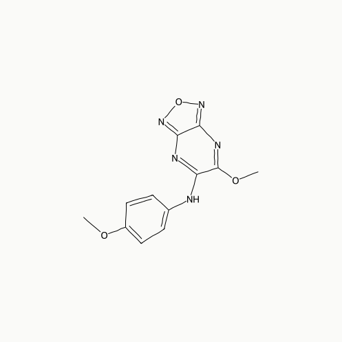 COc1ccc(Nc2nc3nonc3nc2OC)cc1